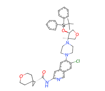 CC(C)(C)[Si](O[C@H]1COC[C@@]1(C)N1CCN(c2cc3cc(NC(=O)[C@@H]4CC45CCOCC5)ncc3cc2Cl)CC1)(c1ccccc1)c1ccccc1